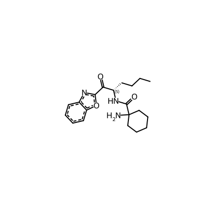 CCCC[C@H](NC(=O)C1(N)CCCCC1)C(=O)c1nc2ccccc2o1